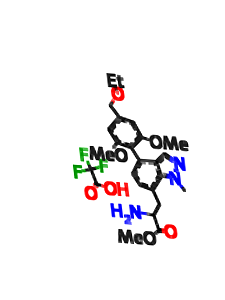 CCOCc1cc(OC)c(-c2ccc(CC(N)C(=O)OC)c3c2cnn3C)c(OC)c1.O=C(O)C(F)(F)F